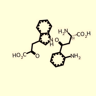 Nc1ccccc1C(=O)C[C@H](N)C(=O)O.O=C(O)C(=O)Cc1c[nH]c2ccccc12